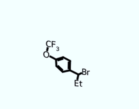 CCC(Br)c1ccc(OC(F)(F)F)cc1